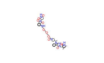 Cc1cc(C)c(CNC(=O)c2c(C)n(C(C)C3CCN(C(=O)COCCOCCOCCNc4cccc5c4C(=O)N(C4CCC(=O)NC4=O)C5=O)CC3)c3ccccc23)c(=O)[nH]1